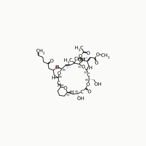 C=CCCC(=O)CC1C[C@H]2C[C@H]3CCC[C@@H](C[C@@H](O)CC(=O)O[C@@H](CO)C[C@@H]4C/C(=C\C(=O)OC)[C@H](OC(C)=O)[C@@](O)(O4)C(C)(C)/C=C/[C@@H](O1)O2)O3